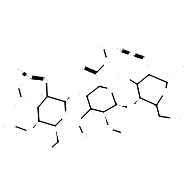 CCCCOC(=O)[C@@H]1O[C@@H](O[C@@H]2C(CO)O[C@@H](OC(C)=O)[C@@H](N=[N+]=[N-])C2O)[C@@H](OCCCC)C(OCCCC)[C@@H]1O[C@H]1O[C@@H](CO)[C@@H](OCCCC)[C@H](OCCCC)C1N=[N+]=[N-]